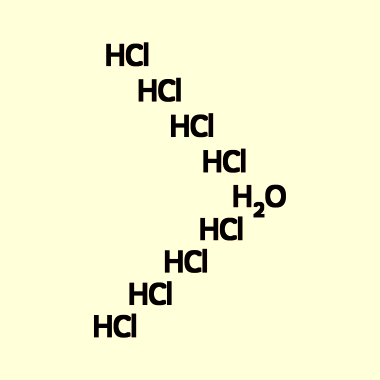 Cl.Cl.Cl.Cl.Cl.Cl.Cl.Cl.O